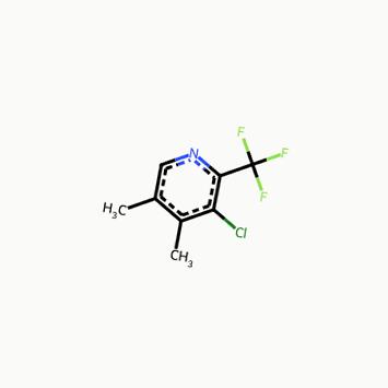 Cc1cnc(C(F)(F)F)c(Cl)c1C